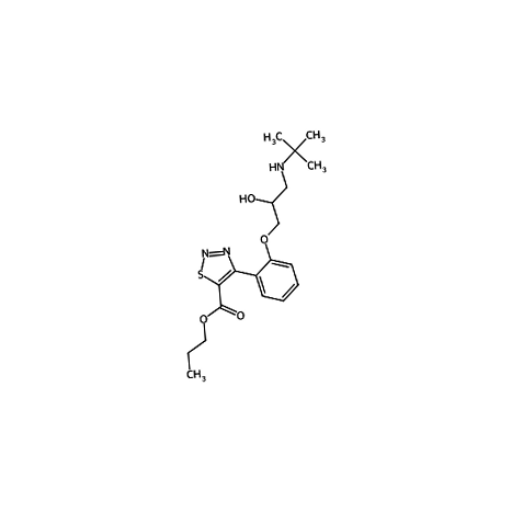 CCCOC(=O)c1snnc1-c1ccccc1OCC(O)CNC(C)(C)C